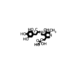 Cc1ncc(COP(=O)(O)O)c(CN[C@@H](Cc2ccc(O)c(O)c2)C(=O)O)c1O